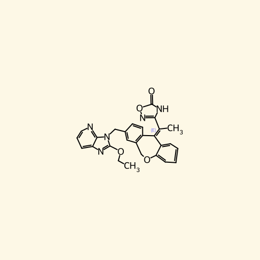 CCOc1nc2cccnc2n1Cc1ccc2c(c1)COc1ccccc1/C2=C(\C)c1noc(=O)[nH]1